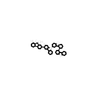 CC1(C)c2ccccc2-c2ccc(-c3ccc4c(c3)c3ccccc3n4-c3ccc4oc5cccc(-c6cccc7sc8ccccc8c67)c5c4c3)cc21